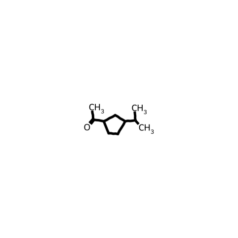 CC(=O)C1CCC(C(C)C)C1